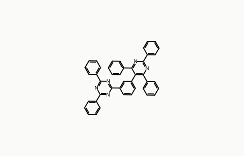 c1ccc(-c2nc(-c3ccccc3)nc(-c3cccc(-c4c(-c5ccccc5)nc(-c5ccccc5)nc4-c4ccccc4)c3)n2)cc1